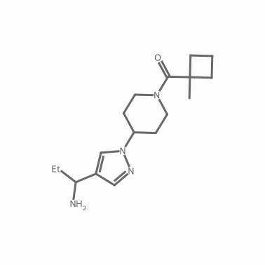 CCC(N)c1cnn(C2CCN(C(=O)C3(C)CCC3)CC2)c1